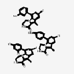 Cc1c2n(c3c(-c4ccc(C(C)(C)C)cc4)cc(Cl)cc13)CCNC2=O.Cc1c2n(c3c(-c4ccc(Cl)cc4Cl)cc(F)cc13)CCNC2=O.Cc1c2n(c3c(-c4cccc(C#N)c4)cc(Cl)cc13)CCNC2=O